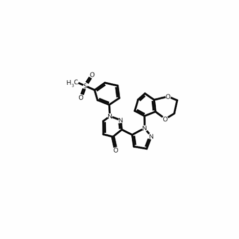 CS(=O)(=O)c1cccc(-n2ccc(=O)c(-c3ccnn3-c3cccc4c3OCCO4)n2)c1